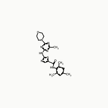 Cc1cc(C)c(NC(=O)c2cnc(Nc3nc(C)nc(N4CCOCC4)n3)s2)c(C)c1